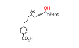 CCCCCC(O)C#CCC(CCCc1ccc(C(=O)O)cc1)C(C)=O